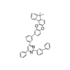 CC1(C)c2ccccc2-c2c1ccc1c2Oc2cc(-c3cccc(-c4cc(-c5ccccc5)nc(-c5cccc(-c6ccccc6)c5)n4)c3)ccc2O1